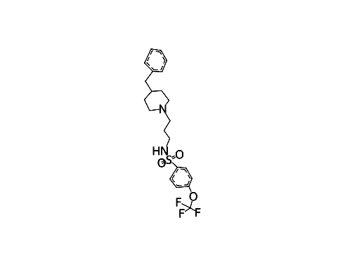 O=S(=O)(NCCCN1CCC(Cc2ccccc2)CC1)c1ccc(OC(F)(F)F)cc1